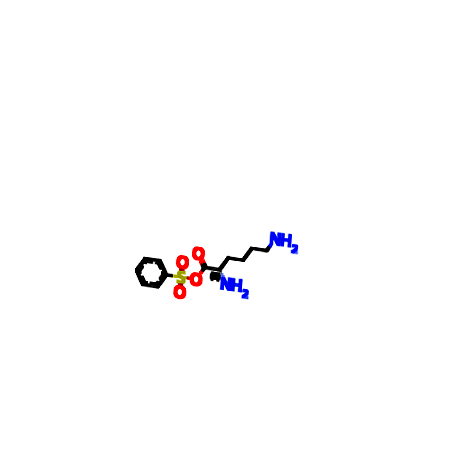 NCCCC[C@H](N)C(=O)OS(=O)(=O)c1ccccc1